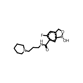 O=C(NCCCN1CCCCC1)c1cc2c(cc1F)COB2O